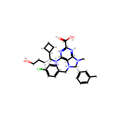 Cc1cccc([C@H]2N(C)c3nc(C(=O)O)nc(N[C@H](CCCO)C4CCC4)c3N2Cc2ccc(Cl)cc2)c1